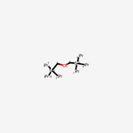 CC(C)[Si](COC[Si](C(C)C)(C(C)C)C(C)C)(C(C)C)C(C)C